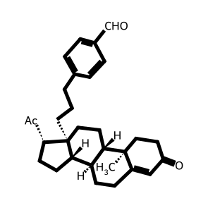 CC(=O)[C@H]1CC[C@H]2[C@@H]3CCC4=CC(=O)CC[C@]4(C)[C@H]3CC[C@]12CCCc1ccc(C=O)cc1